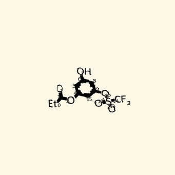 CCC(=O)Oc1cc(O)cc(OS(=O)(=O)C(F)(F)F)c1